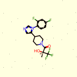 C[C@@](O)(C(=O)N1CCC(c2cncn2-c2ccc(F)cc2F)CC1)C(F)(F)F